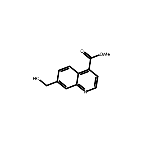 COC(=O)c1ccnc2cc(CO)ccc12